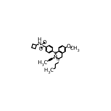 CC#CN1[C@@H](CCCC)Cc2cc(OC)ccc2[C@@H]1c1ccc(S(=O)(=O)NC2CCC2)cc1